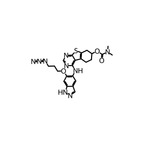 CN(C)C(=O)OC1CCc2c(sc3ncnc(Nc4cc5cn[nH]c5cc4OCCCN=[N+]=[N-])c23)C1